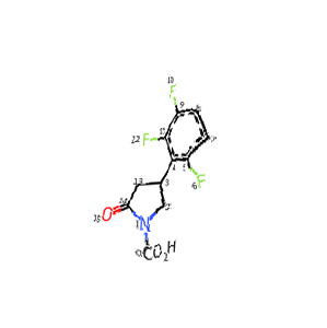 O=C(O)N1CC(c2c(F)ccc(F)c2F)CC1=O